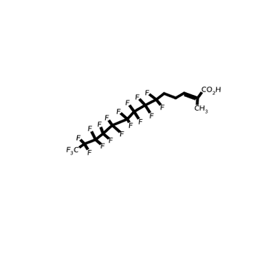 CC(=CCCC(F)(F)C(F)(F)C(F)(F)C(F)(F)C(F)(F)C(F)(F)C(F)(F)C(F)(F)C(F)(F)F)C(=O)O